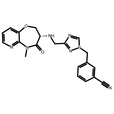 CN1C(=O)[C@@H](NCc2ncn(Cc3cccc(C#N)c3)n2)COc2cccnc21